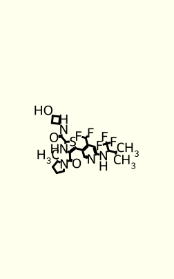 CC(C)[C@@H](Nc1cc(C(F)F)c(C2=C(C(=O)N3CCC[C@@H]3C)NC(C(=O)N[C@H]3C[C@H](O)C3)S2)cn1)C(F)(F)F